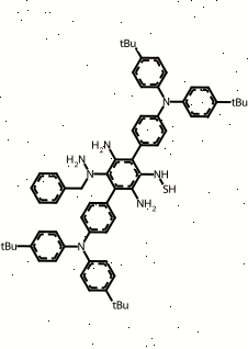 CC(C)(C)c1ccc(N(c2ccc(-c3c(N)c(N(N)Cc4ccccc4)c(-c4ccc(N(c5ccc(C(C)(C)C)cc5)c5ccc(C(C)(C)C)cc5)cc4)c(N)c3NS)cc2)c2ccc(C(C)(C)C)cc2)cc1